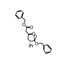 CC(C)[C@H](CC(=O)CC(=O)OCc1ccccc1)C(=O)OCc1ccccc1